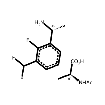 CC(=O)N[C@@H](C)C(=O)O.C[C@@H](N)c1cccc(C(F)F)c1F